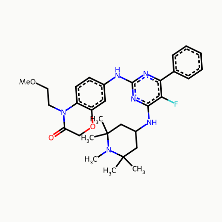 COCCN1C(=O)COc2cc(Nc3nc(NC4CC(C)(C)N(C)C(C)(C)C4)c(F)c(-c4ccccc4)n3)ccc21